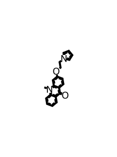 Cn1c2ccccc2c(=O)c2ccc(OCCn3cccc3)cc21